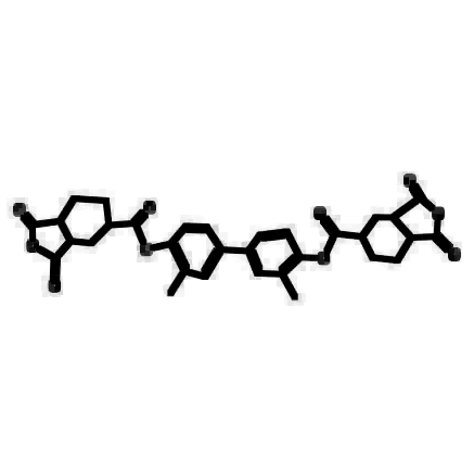 Cc1cc(-c2ccc(OC(=O)C3CCC4C(=O)OC(=O)C4C3)c(C)c2)ccc1OC(=O)C1CCC2C(=O)OC(=O)C2C1